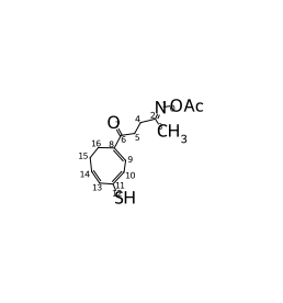 CC(=O)O/N=C(\C)CCC(=O)/C1=C/C=C(S)\C=C/CC1